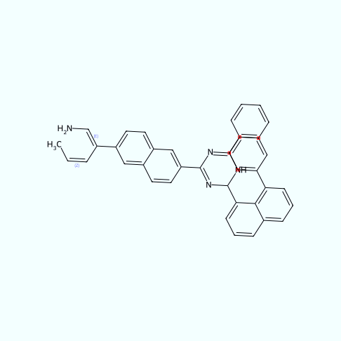 C/C=C\C(=C/N)c1ccc2cc(C3=NC(c4cccc5cccc(-c6ccccc6)c45)NC(c4ccccc4)=N3)ccc2c1